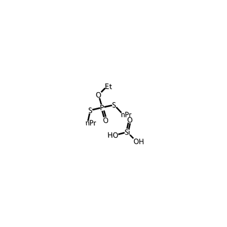 CCCSP(=O)(OCC)SCCC.O=[Si](O)O